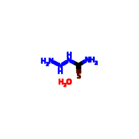 NNNC(N)=S.O